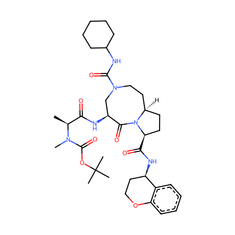 C[C@@H](C(=O)N[C@H]1CN(C(=O)NC2CCCCC2)CC[C@H]2CC[C@@H](C(=O)N[C@@H]3CCOc4ccccc43)N2C1=O)N(C)C(=O)OC(C)(C)C